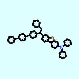 c1ccc(CC(c2ccc(-c3ccc(-c4ccccc4)cc3)cc2)c2ccc3c(c2)sc2cc(N(c4ccccc4)c4ccccc4)ccc23)cc1